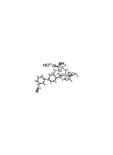 CCOc1ccc(-c2cccc(C#N)c2)cc1CC1(C(N)=O)CCC(NC)CC1.Cl